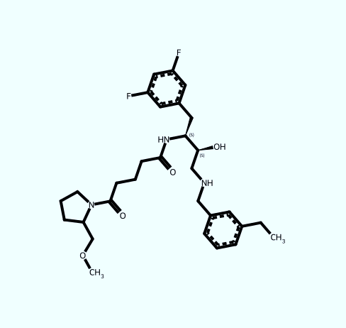 CCc1cccc(CNC[C@H](O)[C@H](Cc2cc(F)cc(F)c2)NC(=O)CCCC(=O)N2CCCC2COC)c1